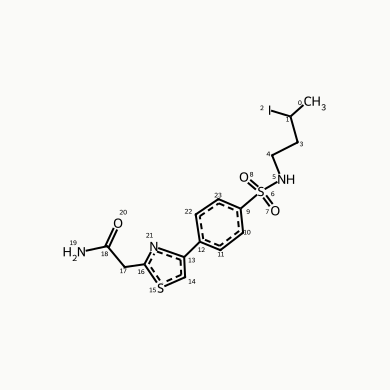 CC(I)CCNS(=O)(=O)c1ccc(-c2csc(CC(N)=O)n2)cc1